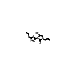 C=CCN1CC(O)N(c2nnc(SCC)s2)C1=O